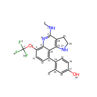 CNc1nc2c(OC(F)(F)F)ccc(-c3ccc(O)cc3C)c2c2c1CCN2